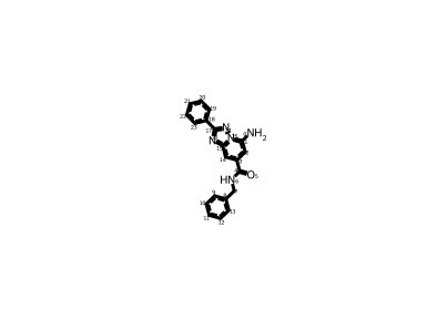 Nc1cc(C(=O)NCc2ccccc2)cc2nc(-c3ccccc3)nn12